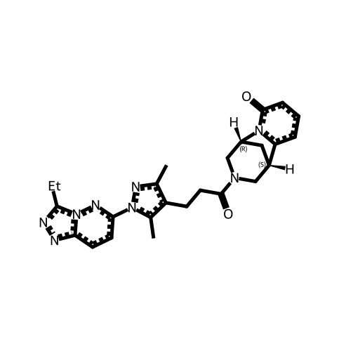 CCc1nnc2ccc(-n3nc(C)c(CCC(=O)N4C[C@@H]5C[C@H](C4)n4c5cccc4=O)c3C)nn12